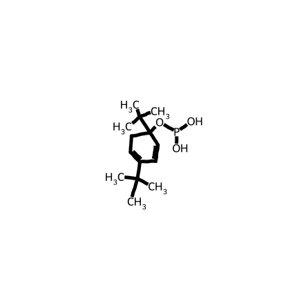 CC(C)(C)C1=CCC(OP(O)O)(C(C)(C)C)C=C1